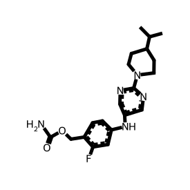 CC(C)C1CCN(c2ncc(Nc3ccc(COC(N)=O)c(F)c3)cn2)CC1